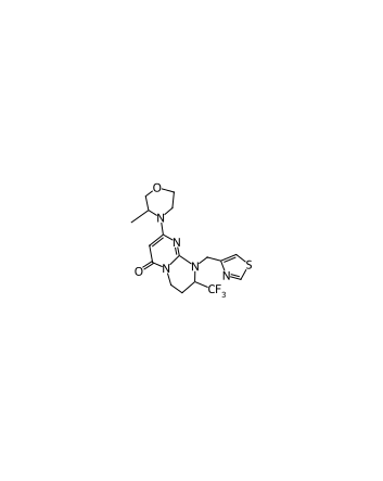 CC1COCCN1c1cc(=O)n2c(n1)N(Cc1cscn1)C(C(F)(F)F)CC2